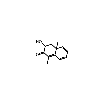 CC1=C2C=CC=CC2(C)CC(O)C1=O